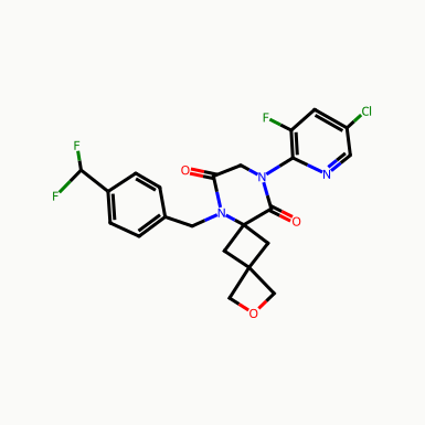 O=C1CN(c2ncc(Cl)cc2F)C(=O)C2(CC3(COC3)C2)N1Cc1ccc(C(F)F)cc1